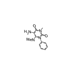 CNc1c(N)c(=O)n(C)c(=O)n1-c1ccccc1